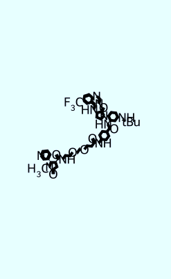 CN1C(=O)C[C@H](C(=O)NCCOCCOCCC(=O)NC2CCC(C(=O)N[C@@H]3C[C@H](NC(C)(C)C)CC[C@@H]3N3CC[C@H](Nc4ncnc5ccc(C(F)(F)F)cc45)C3=O)CC2)[C@H]1c1cccnc1